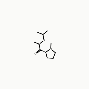 CC(C)ON(C)C(=O)[C@@H]1CCCN1C